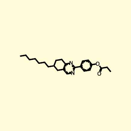 CCCCCCCC1CCc2nc(-c3ccc(OC(=O)CC)cc3)ncc2C1